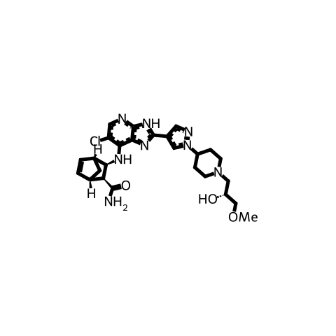 COC[C@H](O)CN1CCC(n2cc(-c3nc4c(N[C@H]5[C@@H](C(N)=O)[C@@H]6C=C[C@H]5C6)c(Cl)cnc4[nH]3)cn2)CC1